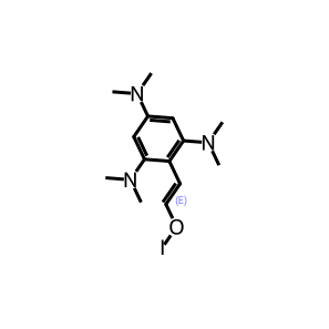 CN(C)c1cc(N(C)C)c(/C=C/OI)c(N(C)C)c1